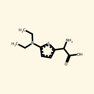 CCN(CC)c1ccc(C(N)C(=O)O)s1